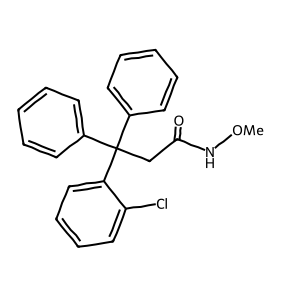 CONC(=O)CC(c1ccccc1)(c1ccccc1)c1ccccc1Cl